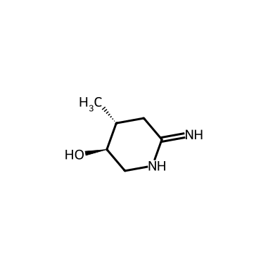 C[C@@H]1CC(=N)NC[C@H]1O